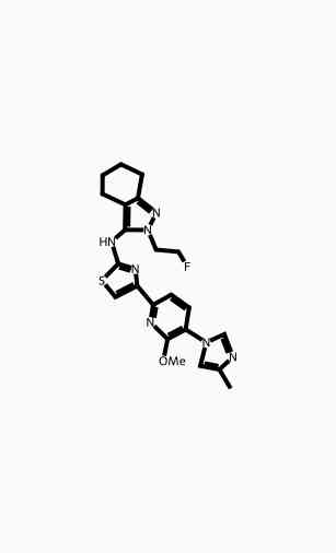 COc1nc(-c2csc(Nc3c4c(nn3CCF)CCCC4)n2)ccc1-n1cnc(C)c1